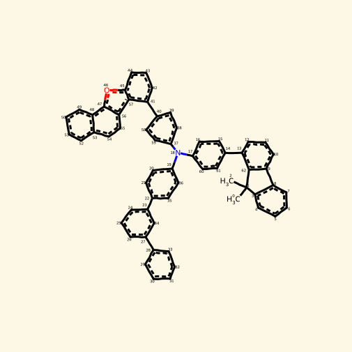 CC1(C)c2ccccc2-c2cccc(-c3ccc(N(c4ccc(-c5cccc(-c6ccccc6)c5)cc4)c4ccc(-c5cccc6oc7c8ccccc8ccc7c56)cc4)cc3)c21